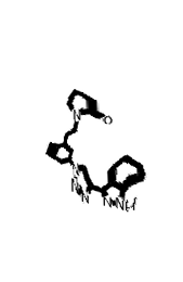 O=C1CCCN1CCc1cccc(-n2cc(-c3n[nH]c4ccccc34)nn2)c1